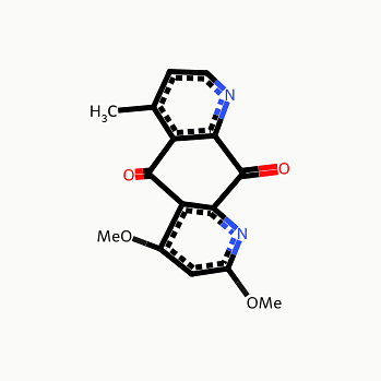 COc1cc(OC)c2c(n1)C(=O)c1nccc(C)c1C2=O